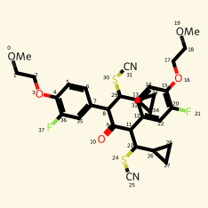 COCCOc1ccc(C(C(=O)C(c2ccc(OCCOC)c(F)c2)C(SC#N)C2CC2)C(SC#N)C2CC2)cc1F